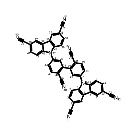 N#Cc1ccc2c(c1)c1cc(C#N)ccc1n2-c1ccc(C#N)c(-c2cc(-n3c4ccc(C#N)cc4c4cc(C#N)ccc43)ccc2C#N)c1